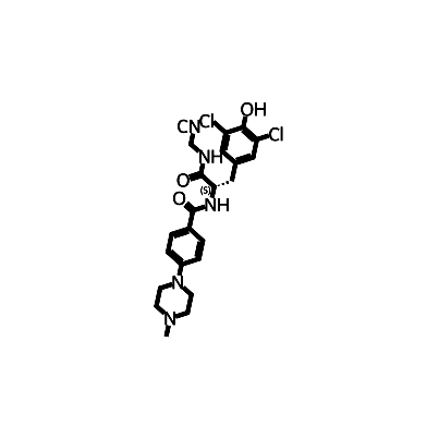 CN1CCN(c2ccc(C(=O)N[C@@H](Cc3cc(Cl)c(O)c(Cl)c3)C(=O)NCC#N)cc2)CC1